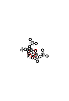 Cc1cc(-c2c(-c3ccccc3)nc(-c3cc(-c4nc(-c5ccccc5)nc(-c5ccccc5)n4)ccc3-n3c4ccc(C(F)(F)F)cc4c4cc(C(F)(F)F)ccc43)nc2-c2ccccc2)ccc1-c1ccc2c3ccccc3n(-c3ccc(-c4nc(-c5ccccc5)nc(-c5ccccc5)n4)cc3-c3nc(-c4ccccc4)cc(-c4ccccc4)n3)c2c1